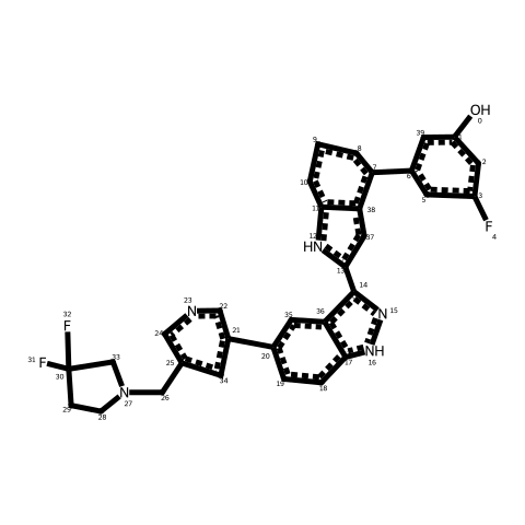 Oc1cc(F)cc(-c2cccc3[nH]c(-c4n[nH]c5ccc(-c6cncc(CN7CCC(F)(F)C7)c6)cc45)cc23)c1